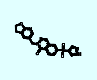 O=c1c2ccc(S(=O)(=O)c3cn[nH]c3)cc2cnn1Cc1cnc2c(c1)CCO2